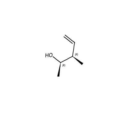 C=C[C@@H](C)[C@@H](C)O